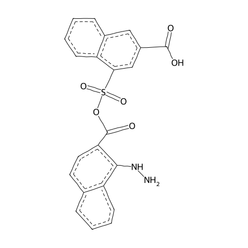 NNc1c(C(=O)OS(=O)(=O)c2cc(C(=O)O)cc3ccccc23)ccc2ccccc12